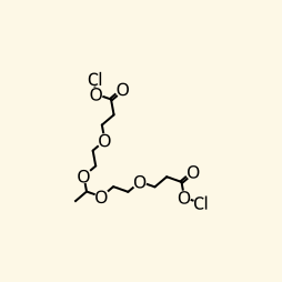 CC(OCCOCCC(=O)OCl)OCCOCCC(=O)OCl